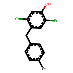 CCc1ccc(Cc2cc(Br)c(O)cc2Cl)cc1